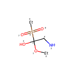 CCOC(O)(C[NH])S(=O)(=O)CC